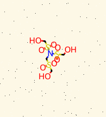 O=S(=O)(CO)CN(S(=O)(=O)CO)S(=O)(=O)CO